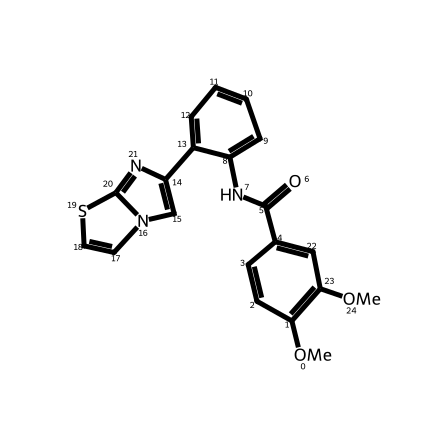 COc1ccc(C(=O)Nc2ccccc2-c2cn3ccsc3n2)cc1OC